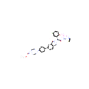 CC(C)(C)OC(=O)N1CCN(c2ccc(-c3ccc4c(c3)C(=O)N(C(C(=O)Nc3nccs3)c3cc(F)ccc3O)C4)cc2)CC1